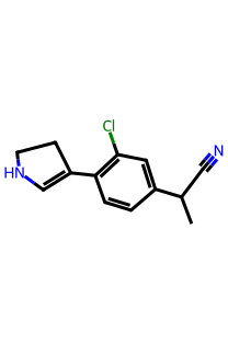 CC(C#N)c1ccc(C2=CNCC2)c(Cl)c1